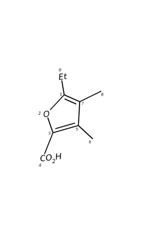 CCc1oc(C(=O)O)c(C)c1C